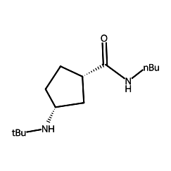 CCCCNC(=O)[C@H]1CC[C@@H](NC(C)(C)C)C1